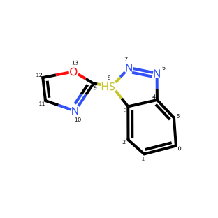 c1ccc2c(c1)N=N[SH]2c1ncco1